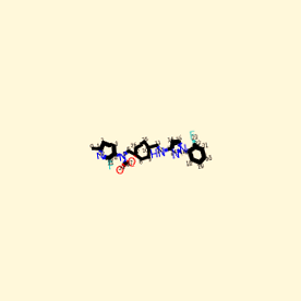 Cc1ccc(N2CC3(CCC(CNc4ccn(-c5ccccc5F)n4)CC3)OC2=O)c(F)n1